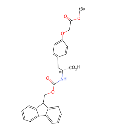 CC(C)(C)OC(=O)COc1ccc(C[C@@H](NC(=O)OCC2c3ccccc3-c3ccccc32)C(=O)O)cc1